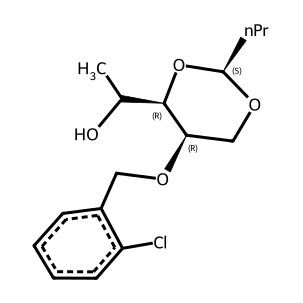 CCC[C@H]1OC[C@@H](OCc2ccccc2Cl)[C@@H](C(C)O)O1